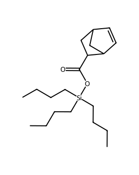 CCCC[Si](CCCC)(CCCC)OC(=O)C1CC2C=CC1C2